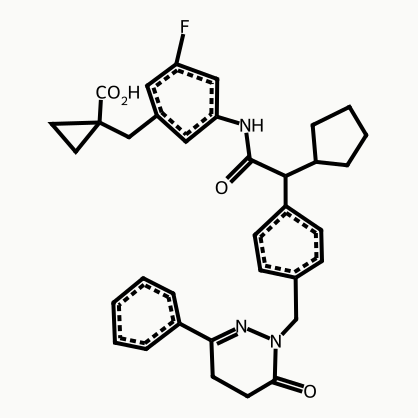 O=C(Nc1cc(F)cc(CC2(C(=O)O)CC2)c1)C(c1ccc(CN2N=C(c3ccccc3)CCC2=O)cc1)C1CCCC1